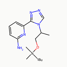 CC(CO[Si](C)(C)C(C)(C)C)n1cnnc1-c1cccc(N)n1